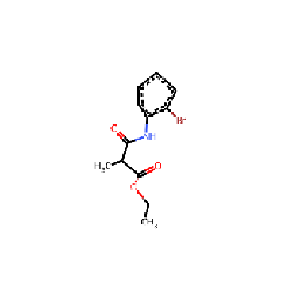 CCOC(=O)C(C)C(=O)Nc1ccccc1Br